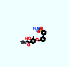 Cc1c(OCc2cccc(-c3cccc(S(N)(=O)=O)c3)c2)ccc(C(=O)CC(C)(C)C)c1O